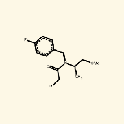 COCC(C)N(Cc1ccc(F)cc1)C(=O)CBr